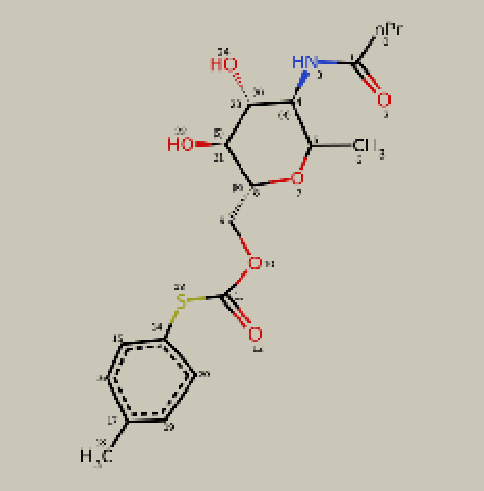 CCCC(=O)N[C@H]1C(C)O[C@H](COC(=O)Sc2ccc(C)cc2)[C@@H](O)[C@@H]1O